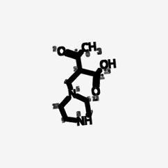 CC(=O)C(CN1CCNCC1)C(=O)O